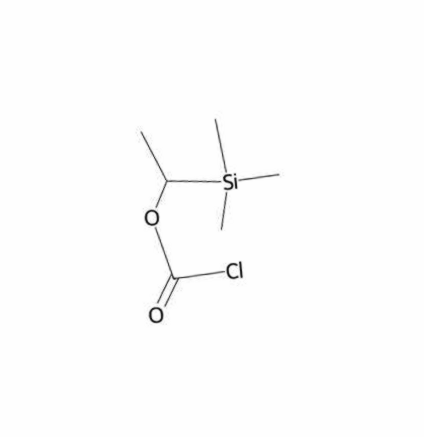 CC(OC(=O)Cl)[Si](C)(C)C